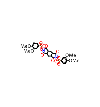 COc1ccc(S(=O)(=O)ON2C(=O)C3CC4C(=O)N(OS(=O)(=O)c5ccc(OC)c(OC)c5)C(=O)C4CC3C2=O)cc1OC